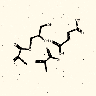 C=C(C)C(=O)O.C=C(C)C(=O)OCC(O)CO.O=C(O)C=CC(=O)O